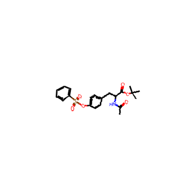 CC(=O)NC(Cc1ccc(OS(=O)(=O)c2ccccc2)cc1)C(=O)OC(C)(C)C